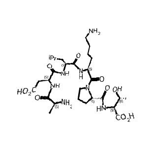 CC(C)C[C@H](NC(=O)[C@H](CC(=O)O)NC(=O)[C@H](C)N)C(=O)N[C@@H](CCCCN)C(=O)N1CCC[C@H]1C(=O)N[C@H](C(=O)O)[C@@H](C)O